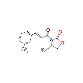 CC(C)C1COC(=O)N1C(=O)C=Cc1cccc(C(F)(F)F)c1